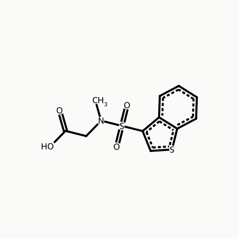 CN(CC(=O)O)S(=O)(=O)c1csc2ccccc12